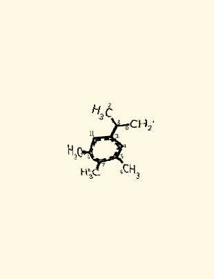 [CH2]C(C)c1cc(C)c(C)c(C)c1